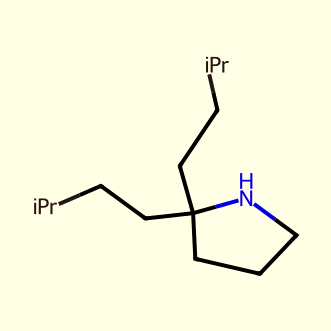 CC(C)CCC1(CCC(C)C)CCCN1